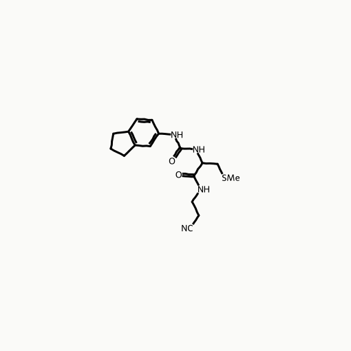 CSCC(NC(=O)Nc1ccc2c(c1)CCC2)C(=O)NCCC#N